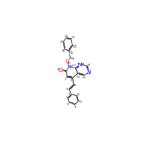 O=c1cc(C=Cc2ccccc2)c2cncnc2n1OCc1ccccc1